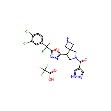 O=C(O)C(F)(F)F.O=C(c1cn[nH]c1)N1CC(c2nnc(C(F)(F)c3ccc(Cl)c(Cl)c3)o2)C2(CNC2)C1